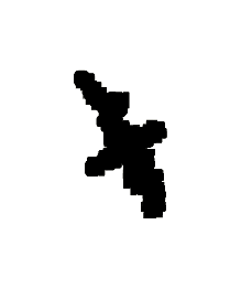 C#CC(C(=O)N1CCC[C@@H](n2nc(-c3ccc(Oc4ccccc4)cc3F)c3c(N)ncnc32)C1)C(Nc1ncnc2c1c(-c1ccc(Oc3ccccc3)cc1F)nn2[C@@H]1CCCN(C(=O)C(C#N)=CC(C)(C)N2CCN(C3COC3)CC2)C1)C(C)(C)N1CCN(C2COC2)CC1